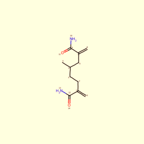 C=C(CCC(C)CC(=C)C(N)=O)C(N)=O